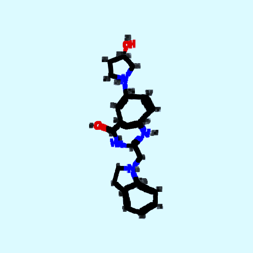 O=c1[nH]c(CN2CCc3ccccc32)nc2ccc(N3CC[C@H](O)C3)cc12